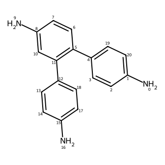 Nc1ccc(-c2ccc(N)cc2-c2ccc(N)cc2)cc1